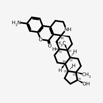 C[C@]12CC[C@]3(C[C@@H]1CC[C@@H]1[C@@H]2CC[C@]2(C)[C@@H](O)CC[C@@H]12)NCCc1c3c(=O)oc2cc(N)ccc12